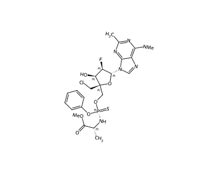 CNc1nc(C)nc2c1ncn2[C@@H]1O[C@](CCl)(CO[P@](=S)(N[C@H](C)C(=O)OC)Oc2ccccc2)[C@@H](O)[C@H]1F